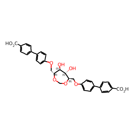 O=C(O)c1ccc(-c2ccc(OC[C@H]3OCO[C@H](COc4ccc(-c5ccc(C(=O)O)cc5)cc4)[C@@H](O)[C@@H]3O)cc2)cc1